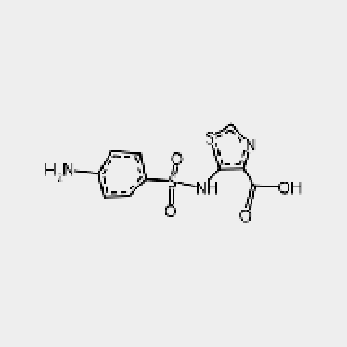 Nc1ccc(S(=O)(=O)Nc2scnc2C(=O)O)cc1